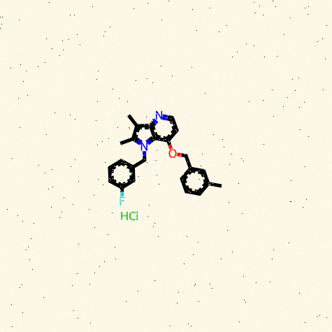 Cc1cccc(COc2ccnc3c(C)c(C)n(Cc4cccc(F)c4)c23)c1.Cl